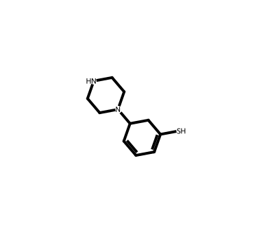 SC1=CC=CC(N2CCNCC2)C1